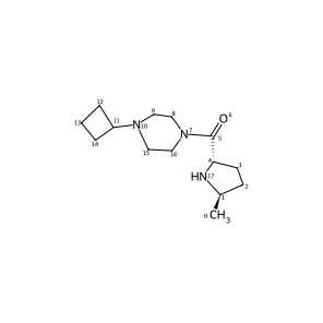 C[C@@H]1CC[C@@H](C(=O)N2CCN(C3CCC3)CC2)N1